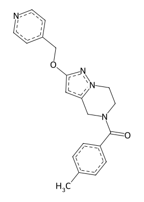 Cc1ccc(C(=O)N2CCn3nc(OCc4ccncc4)cc3C2)cc1